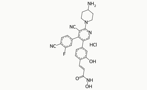 Cl.N#Cc1ccc(-c2c(-c3ccc(/C=C/C(=O)NO)c(O)c3)cnc(N3CCC(N)CC3)c2C#N)cc1F